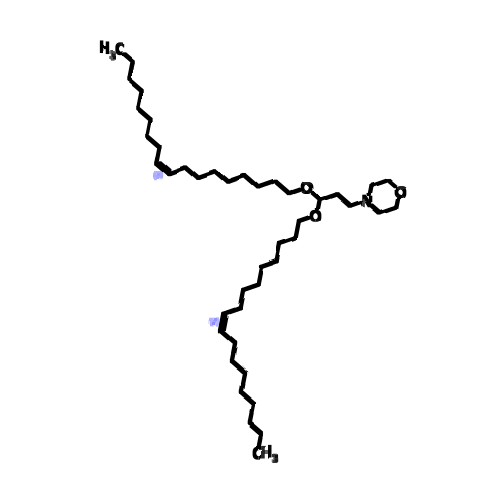 CCCCCCCC/C=C\CCCCCCCCOC(CCN1CCOCC1)OCCCCCCCC/C=C\CCCCCCCC